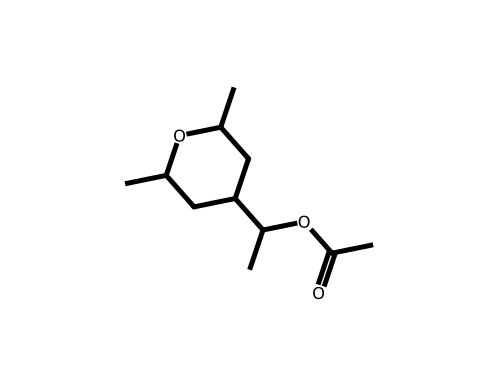 CC(=O)OC(C)C1CC(C)OC(C)C1